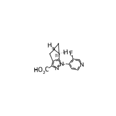 O=C(O)c1nn(-c2ccncc2F)c2c1C[C@H]1C[C@@H]21